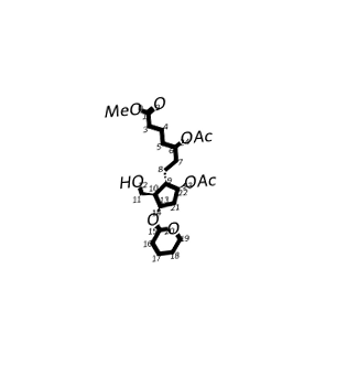 COC(=O)CCCC(CC[C@H]1[C@H](CO)[C@@H](OC2CCCCO2)C[C@H]1OC(C)=O)OC(C)=O